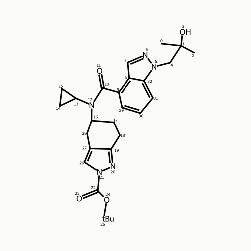 CC(C)(O)Cn1ncc2c(C(=O)N(C3CC3)C3CCc4nn(C(=O)OC(C)(C)C)cc4C3)cccc21